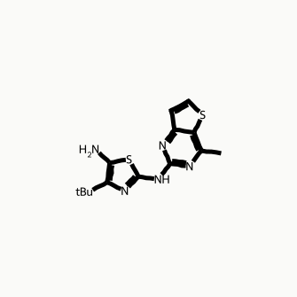 Cc1nc(Nc2nc(C(C)(C)C)c(N)s2)nc2ccsc12